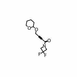 O=C(C#CCOC1CCCCO1)N1CC(F)(F)C1